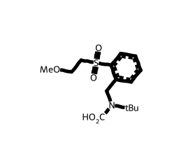 COCCS(=O)(=O)c1ccccc1CN(C(=O)O)C(C)(C)C